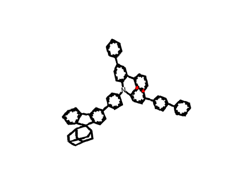 c1ccc(-c2ccc(-c3ccc(N(c4ccc(-c5ccc6c(c5)-c5ccccc5C65C6CC7CC(C6)CC5C7)cc4)c4ccc(-c5ccccc5)cc4-c4ccccc4)cc3)cc2)cc1